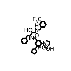 O=C(N[C@@H](Cc1ccccc1)[C@H](O)CNCc1cccc(C(F)(F)F)c1)c1cc(C2CCCC2)cc(N2CCCS2(O)O)c1